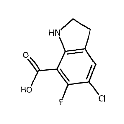 O=C(O)c1c(F)c(Cl)cc2c1NCC2